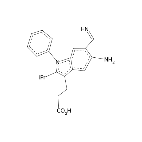 CC(C)c1c(CCC(=O)O)c2cc(N)c(C=N)cc2n1-c1ccccc1